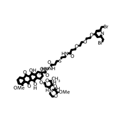 COc1cccc2c1C(=O)c1c(O)c3c(c(O)c1C2=O)C[C@@](O)(C(=O)NNC(=O)CCSCCNC(=O)CCOCCOCCOc1cc(CBr)nc(CBr)c1)C[C@@H]3O[C@H]1C[C@H]2[C@H](O[C@@H]3[C@@H](OC)OCCN32)[C@H](C)O1